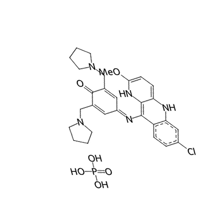 COC1=CC=C2Nc3cc(Cl)ccc3C(N=C3C=C(CN4CCCC4)C(=O)C(CN4CCCC4)=C3)=C2N1.O=P(O)(O)O